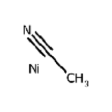 CC#N.[Ni]